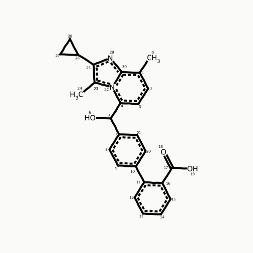 Cc1ccc(C(O)c2ccc(-c3ccccc3C(=O)O)cc2)n2c(C)c(C3CC3)nc12